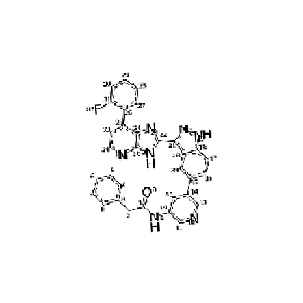 O=C(Cc1ccccc1)Nc1cncc(-c2ccc3[nH]nc(-c4nc5c(-c6ccccc6F)ccnc5[nH]4)c3c2)c1